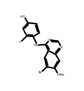 COc1cc2ncnc(Nc3ccc(O)cc3F)c2cc1Br